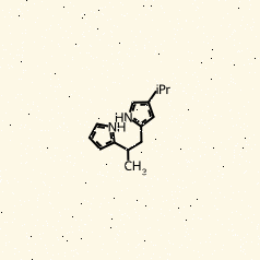 CC(C)c1c[nH]c(CC(C)c2ccc[nH]2)c1